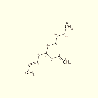 C=CCC(C/C=C/C)CCCCC